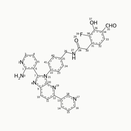 Nc1ncccc1-c1nc2ccc(-c3cccnc3)nc2n1-c1ccc(CNC(=O)Cc2ccc(C=O)c(O)c2F)cc1